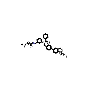 COC(=O)/C=C/c1cccc(N(Cc2ccc(-c3ccc4c(cnn4C)c3)cc2)C(=O)c2ccccc2)c1